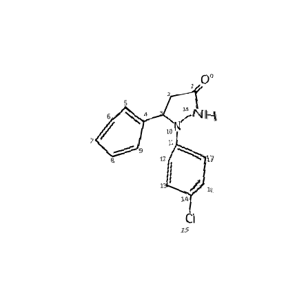 O=C1CC(c2ccccc2)N(c2ccc(Cl)cc2)N1